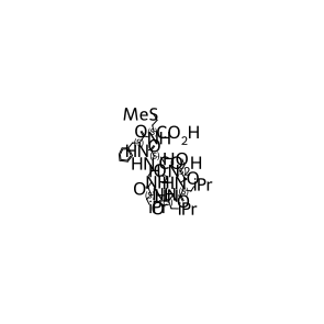 CSCC[C@H](NC(=O)[C@H](Cc1ccccc1)NC(=O)[C@H](CC(=O)O)NC(=O)CNC(=O)[C@H](CC(C)C)NC(=O)[C@H](CC(C)C)NC(=O)[C@H](CC(C)C)NC(=O)[C@@H](N)CO)C(=O)O